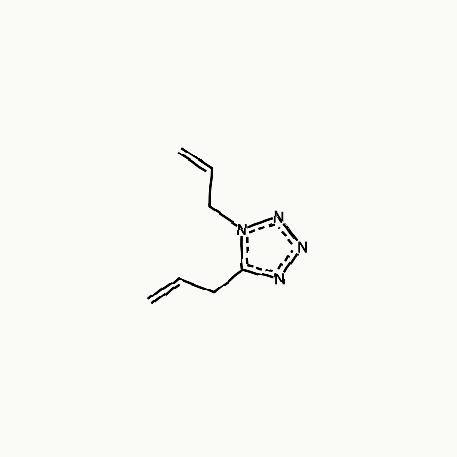 C=CCc1nnnn1CC=C